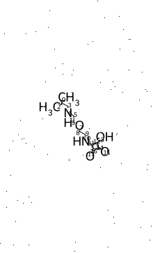 CC(C)CNCCOCCNc1c(O)c(=O)c1=O